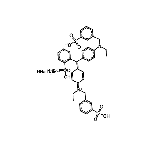 CCN(Cc1cccc(S(=O)(=O)O)c1)c1ccc(C(=C2C=CC(=[N+](CC)Cc3cccc(S(=O)(=O)O)c3)C=C2)c2ccccc2S(=O)(=O)O)cc1.O.[NaH].[NaH]